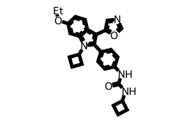 CCOc1ccc2c(-c3cnco3)c(-c3ccc(NC(=O)NC4CCC4)cc3)n(C3CCC3)c2c1